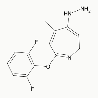 CC1=CC(Oc2c(F)cccc2F)=NCC=C1NN